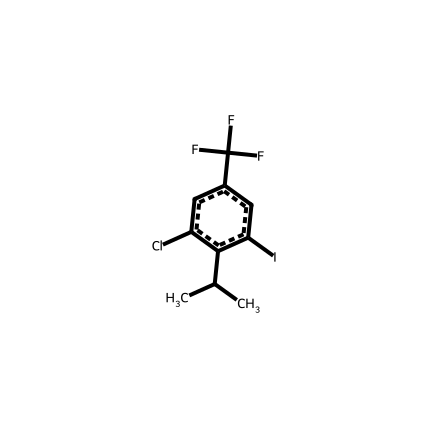 CC(C)c1c(Cl)cc(C(F)(F)F)cc1I